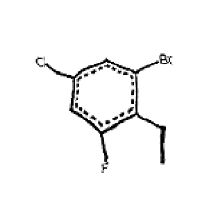 CCc1c(F)cc(Cl)cc1Br